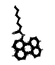 CCCCCCC(=O)Oc1ccc2cccc3c4cccc5cccc(c1c23)c54